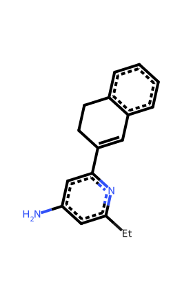 CCc1cc(N)cc(C2=Cc3ccccc3CC2)n1